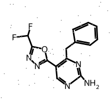 Nc1ncc(-c2nnc(C(F)F)o2)c(Cc2ccccc2)n1